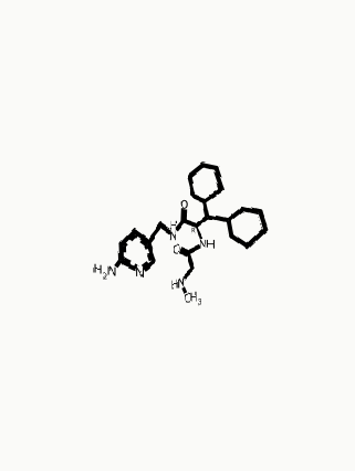 CNCC(=O)N[C@@H](C(=O)NCc1ccc(N)nc1)C(C1CCCCC1)C1CCCCC1